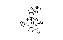 CC(C(=O)c1cccc(Cl)c1)N(COC(=O)c1cc(S(N)(=O)=O)c(Cl)cc1NCc1ccco1)C(C)(C)C